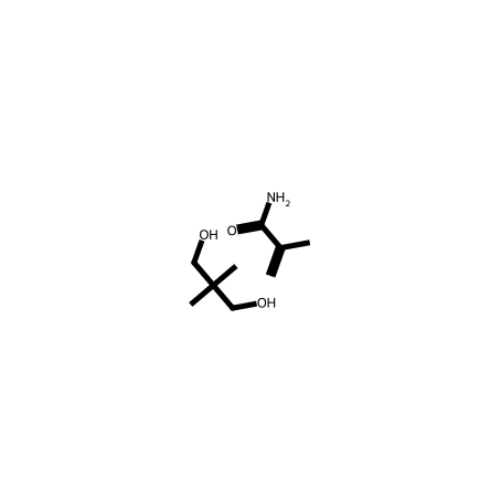 C=C(C)C(N)=O.CC(C)(CO)CO